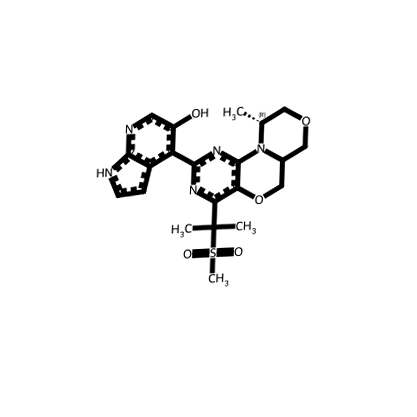 C[C@@H]1COCC2COc3c(nc(-c4c(O)cnc5[nH]ccc45)nc3C(C)(C)S(C)(=O)=O)N21